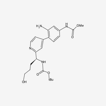 COC(=O)Nc1ccc(-c2ccnc([C@H](CCCO)NC(=O)OC(C)(C)C)c2)c(N)c1